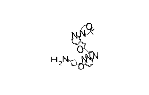 CC1(C)CN(c2nccc3oc(-c4cnc5ccc(OC6CC(N)C6)nn45)cc23)CCO1